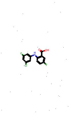 O=C(O)c1cc(F)ccc1Nc1cc(F)cc(Cl)c1